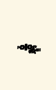 CC(CO)NS(=O)(=O)c1cc(S(=O)(=O)c2ccc(F)cc2)ccc1C(C)C